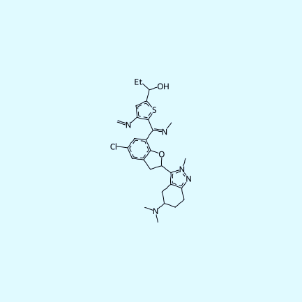 C=Nc1cc(C(O)CC)sc1/C(=N\C)c1cc(Cl)cc2c1OC(c1c3c(nn1C)CCC(N(C)C)C3)C2